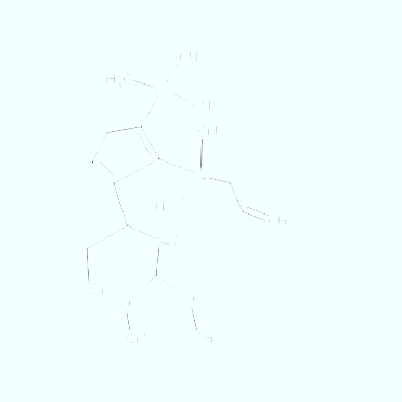 C=CC[Si](C)(C)C1=[C]([Pt]([CH3])([CH3])[CH3])CC=C1C(CC)[SiH2]C(OC)OC